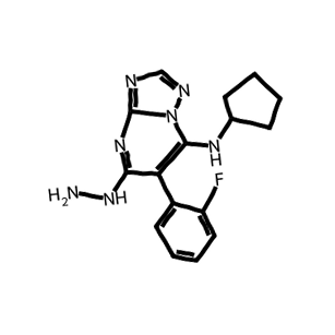 NNc1nc2ncnn2c(NC2CCCC2)c1-c1ccccc1F